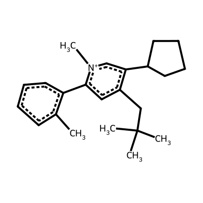 Cc1ccccc1-c1cc(CC(C)(C)C)c(C2CCCC2)c[n+]1C